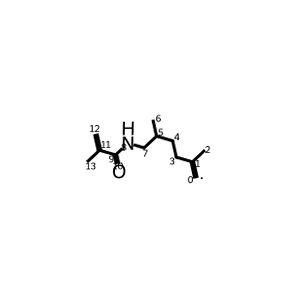 [CH]=C(C)CCC(C)CNC(=O)C(=C)C